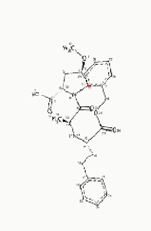 CO[C@@H]1C[C@@H](C(=O)O)N(C(=O)[C@H](C)N[C@@H](CCc2ccccc2)C(=O)OCc2ccccc2)C1